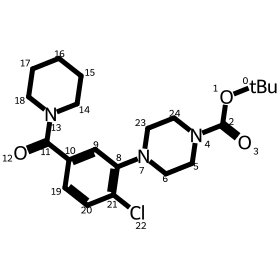 CC(C)(C)OC(=O)N1CCN(c2cc(C(=O)N3CCCCC3)ccc2Cl)CC1